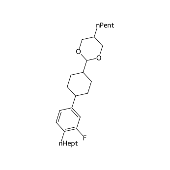 CCCCCCCc1ccc(C2CCC(C3OCC(CCCCC)CO3)CC2)cc1F